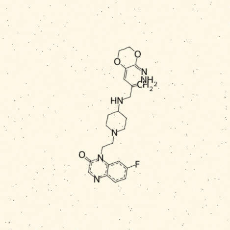 C=C(/C=C1/OCCO/C1=N/N)CNC1CCN(CCn2c(=O)cnc3ccc(F)cc32)CC1